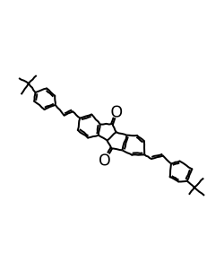 CC(C)(C)c1ccc(/C=C/c2ccc3c(c2)C(=O)C2c4ccc(/C=C/c5ccc(C(C)(C)C)cc5)cc4C(=O)C32)cc1